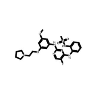 COc1cc(Nc2ncc(F)c(Nc3ccccc3NS(C)(=O)=O)n2)cc(OCCN2CCCC2)c1